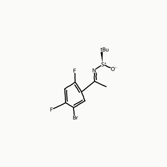 CC(=N[S@+]([O-])C(C)(C)C)c1cc(Br)c(F)cc1F